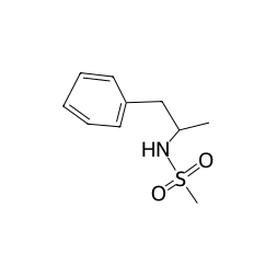 CC(Cc1ccccc1)NS(C)(=O)=O